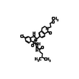 COCCN1CCc2cc(CNc3cc(Cl)ccc3S(=O)(=O)NNC(=O)CCC(C)C)ccc2C1=O